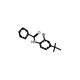 CC(C)(C)c1ccc(NC(=O)c2ccccc2)c(Br)c1